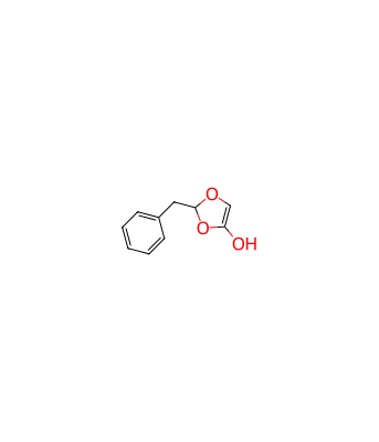 OC1=COC(Cc2ccccc2)O1